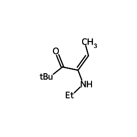 C/C=C(/NCC)C(=O)C(C)(C)C